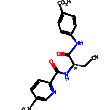 N#CC[C@H](NC(=O)c1ccc([N+](=O)[O-])cn1)C(=O)Nc1ccc(C(=O)O)cc1